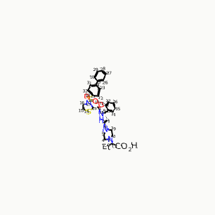 CCC(C(=O)O)N1CCN(CC[C@H](NC(=O)[C@@H]2SCCN2S(=O)(=O)c2ccc(-c3ccccc3)cc2)c2ccccc2)CC1